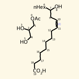 CC(=O)OCC(O)CO.CCCCCCC(O)C/C=C\CCCCCCCC(=O)O